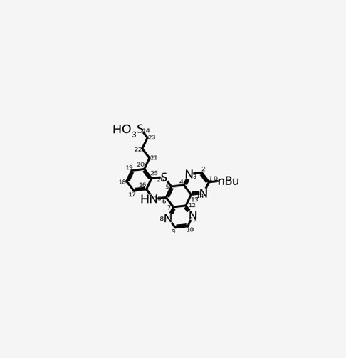 CCCCc1cnc2c3c(c4nccnc4c2n1)Nc1cccc(CCCS(=O)(=O)O)c1S3